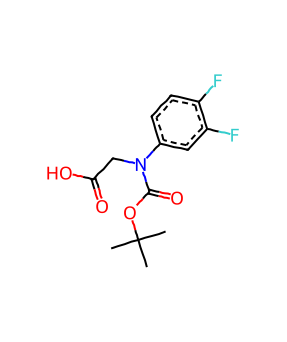 CC(C)(C)OC(=O)N(CC(=O)O)c1ccc(F)c(F)c1